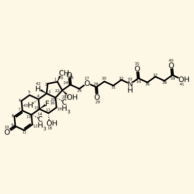 C[C@@H]1C[C@H]2[C@@H]3CCC4=CC(=O)C=C[C@]4(C)[C@@]3(F)[C@@H](O)C[C@]2(C)[C@@]1(O)C(=O)COC(=O)CCCNC(=O)CCCC(=O)O